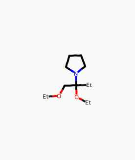 CCOCC(CC)(OCC)N1CCCC1